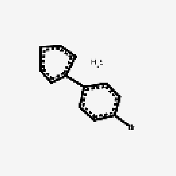 Brc1ccc(-c2ccccc2)cc1.S